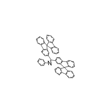 c1ccc(N=C(c2ccc3c(c2)C2(c4ccccc4-c4ccccc42)c2ccccc2-3)c2ccc3c(c2)C2(c4ccccc4-c4ccccc42)c2ccccc2-3)cc1